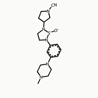 CN1CCN(c2cccc(N3CCN(C4CCN(C#N)C4)[S+]3[O-])c2)CC1